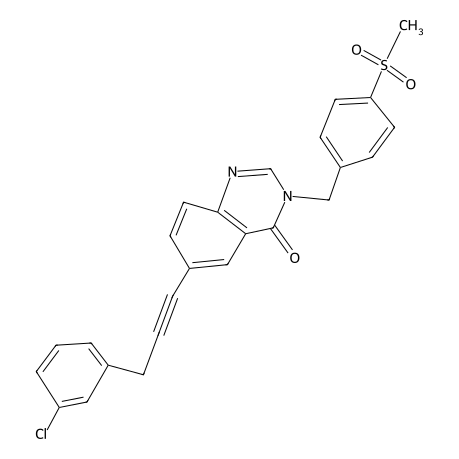 CS(=O)(=O)c1ccc(Cn2cnc3ccc(C#CCc4cccc(Cl)c4)cc3c2=O)cc1